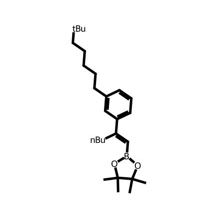 CCCC/C(=C\B1OC(C)(C)C(C)(C)O1)c1cccc(CCCCCC(C)(C)C)c1